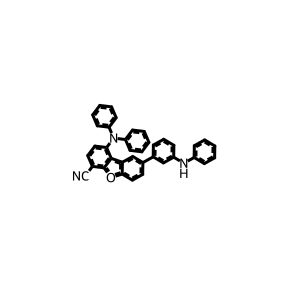 N#Cc1ccc(N(c2ccccc2)c2ccccc2)c2c1oc1ccc(-c3cccc(Nc4ccccc4)c3)cc12